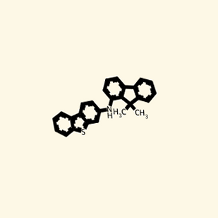 CC1(C)c2ccccc2-c2cccc(Nc3ccc4c(c3)sc3ccccc34)c21